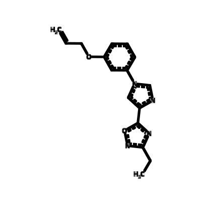 C=CCOc1cccc(-n2cnc(-c3nc(CC)no3)c2)c1